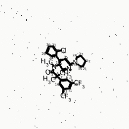 CN(C(=O)C(C)(C)c1cc(C(F)(F)F)cc(C(F)(F)F)c1)c1cnc(N2CCCCC2)cc1-c1ccccc1Cl